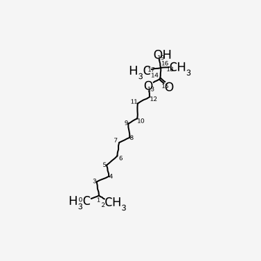 CC(C)CCCCCCCCCCOC(=O)C(C)(C)O